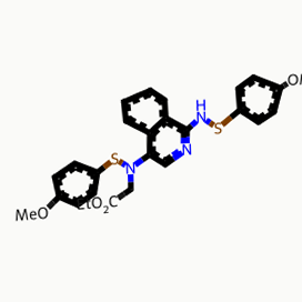 CCOC(=O)CN(Sc1ccc(OC)cc1)c1cnc(NSc2ccc(OC)cc2)c2ccccc12